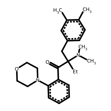 CCC(Cc1ccc(C)c(C)c1)(C(=O)c1ccccc1N1CCOCC1)N(C)C